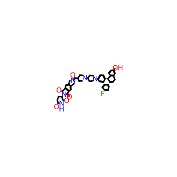 O=C1CCC(N2C(=O)c3cc4c(cc3C2=O)CN(C(=O)C2CCN(C3CCN(c5ccc([C@@H]6c7ccc(O)cc7CC[C@@H]6c6ccc(F)cc6)cc5)CC3)CC2)C4)C(=O)N1